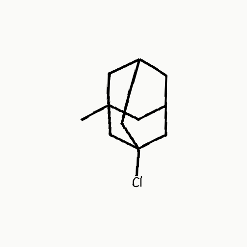 CC12CC3CC(C1)CC(Cl)(C3)C2